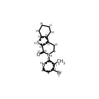 Cc1c(Br)ccnc1N1CCc2c(sc3c2CCCC3)C1=O